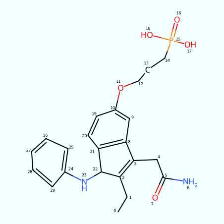 CCC1=C(CC(N)=O)c2cc(OCCCP(=O)(O)O)ccc2C1Nc1ccccc1